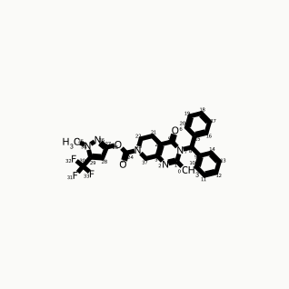 Cc1nc2c(c(=O)n1C(c1ccccc1)c1ccccc1)CCN(C(=O)Oc1cc(C(F)(F)F)n(C)n1)C2